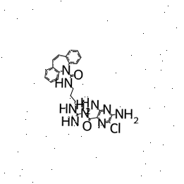 N=C(NCCCNC(=O)N1c2ccccc2C=Cc2ccccc21)NC(=O)c1nc(Cl)c(N)nc1N